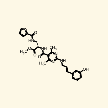 COC(=O)[C@H](CNC(=O)c1cccs1)NC(=O)c1c(C)nc(NC/C=C/c2cccc(O)c2)nc1C